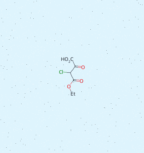 CCOC(=O)C(Cl)C(=O)C(=O)O